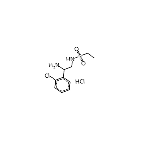 CCS(=O)(=O)NCC(N)c1ccccc1Cl.Cl